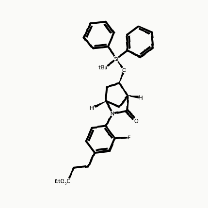 CCOC(=O)CCc1ccc(N2C(=O)[C@@H]3C[C@H]2C[C@H]3O[Si](c2ccccc2)(c2ccccc2)C(C)(C)C)c(F)c1